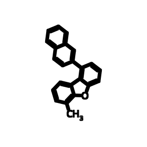 Cc1cccc2c1oc1cccc(-c3ccc4ccccc4c3)c12